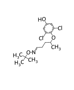 CC(CCC=NOC(C)(C)C)Oc1c(Cl)cc(O)cc1Cl